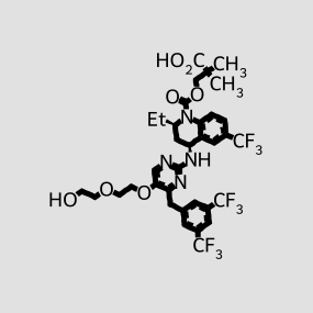 CC[C@@H]1C[C@H](Nc2ncc(OCCOCCO)c(Cc3cc(C(F)(F)F)cc(C(F)(F)F)c3)n2)c2cc(C(F)(F)F)ccc2N1C(=O)OCC(C)(C)C(=O)O